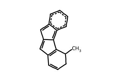 CC1CC=CC2=C1C1=c3ccccc3=CC1=C2